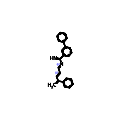 C=C(/C=C/C=N/C(=N)c1cccc(-c2ccccc2)c1)c1ccccc1